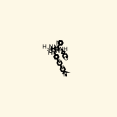 CN1CC2(CCN(C3CCN(c4ccc(Nc5nc(NC6CC7(CCOCC7)C6)c(-c6ccccn6)nc5C(N)=O)cc4)CC3)CC2)C1